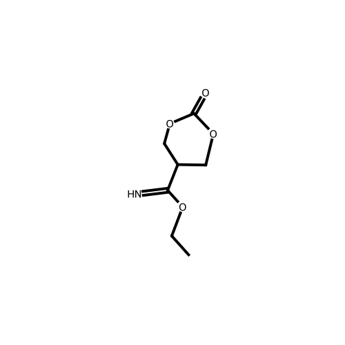 CCOC(=N)C1COC(=O)OC1